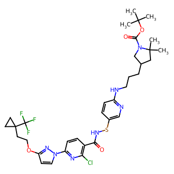 CC(C)(C)OC(=O)N1CC(CCCNc2ccc(SNC(=O)c3ccc(-n4ccc(OCCC5(C(F)(F)F)CC5)n4)nc3Cl)cn2)CC1(C)C